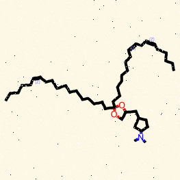 CCCCC/C=C\C/C=C\CCCCCCCCC1(CCCCCCCCCCC/C=C\CCCCC)OCC(CC2CCC(N(C)C)C2)O1